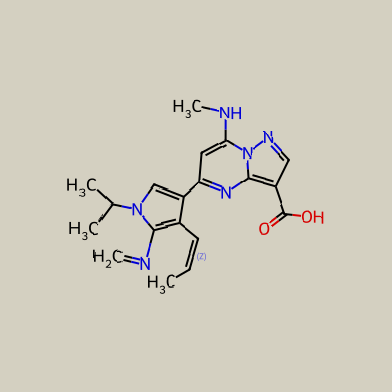 C=Nc1c(/C=C\C)c(-c2cc(NC)n3ncc(C(=O)O)c3n2)cn1C(C)C